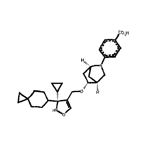 O=C(O)c1ccc(N2C[C@@H]3C[C@H]2C[C@H]3OCC2=CON[C@@]2(C2CC2)C2CCC3(CC2)CC3)cc1